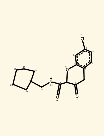 O=C1Cc2ccc(Cl)cc2OC1C(=O)NCC1CCCCC1